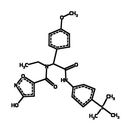 CCN(C(=O)c1cc(O)no1)C(C(=O)Nc1ccc(S(C)(C)C)cc1)c1ccc(OC)cc1